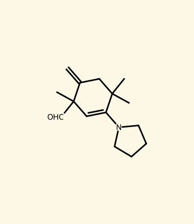 C=C1CC(C)(C)C(N2CCCC2)=CC1(C)C=O